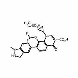 CC1NCc2cc(-c3ccc4c(=O)c(C(=O)O)cn(C5CC5)c4c3OC(F)F)ccc21.CS(=O)(=O)O.O